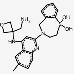 Cc1ccc2nc(N3CCS(O)(O)c4ccccc4C3)cc(NC3(CN)COC3)c2c1